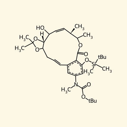 CC1OC(=O)c2c(cc(N(C)C(=O)OC(C)(C)C)cc2O[Si](C)(C)C(C)(C)C)/C=C/CC2OC(C)(C)O[C@@H]2C(O)/C=C\[C@H]1C